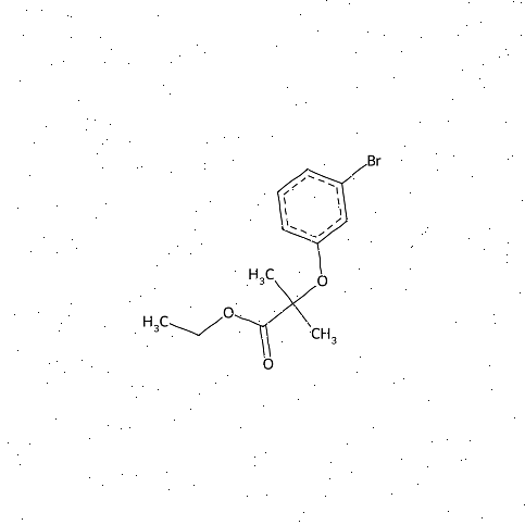 CCOC(=O)C(C)(C)Oc1cccc(Br)c1